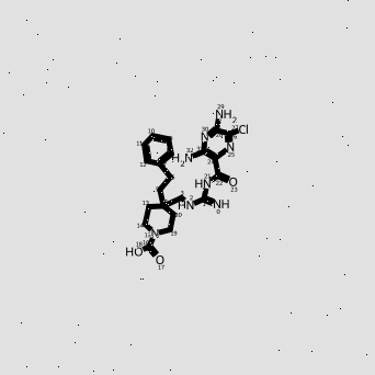 N=C(NCC1(CCc2ccccc2)CCN(C(=O)O)CC1)NC(=O)c1nc(Cl)c(N)nc1N